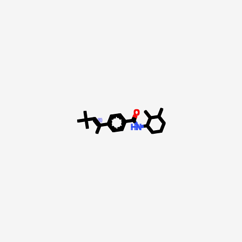 C/C(=C\C(C)(C)C)c1ccc(C(=O)NC2CCCC(C)C2C)cc1